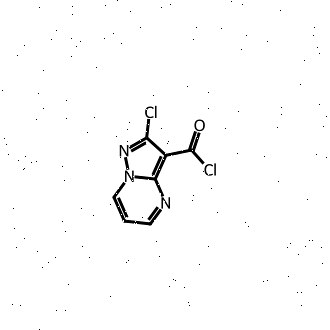 O=C(Cl)c1c(Cl)nn2cccnc12